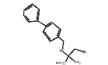 CCOC(=O)C(N)(CC(C)C)NCc1ccc(-c2ccccc2)cc1